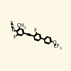 Cc1cc(C#Cc2ccc(-c3ccc(OC(F)(F)F)cc3)cc2F)cc(F)c1N=C=S